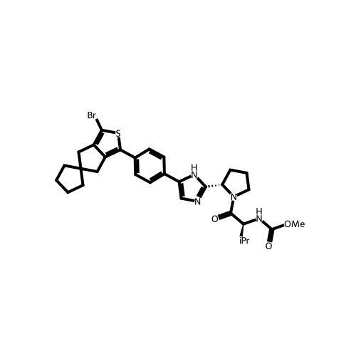 COC(=O)N[C@H](C(=O)N1CCC[C@H]1c1ncc(-c2ccc(-c3sc(Br)c4c3CC3(CCCC3)C4)cc2)[nH]1)C(C)C